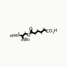 CCCCCCC(CCCC)COC(=O)CCCCC(=O)O